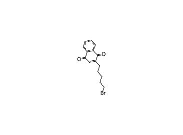 O=C1C=C(CCCCCBr)C(=O)c2ccccc21